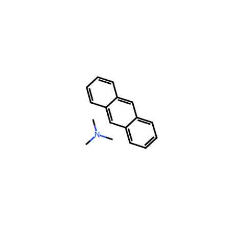 CN(C)C.c1ccc2cc3ccccc3cc2c1